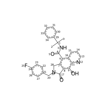 CC(C)(NC(=O)c1c2c(c(O)c3ncccc13)C(=O)N(Cc1ccc(F)cc1)C2)c1ccccc1